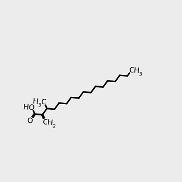 C=C(C(=O)O)C(C)CCCCCCCCCCCCCC